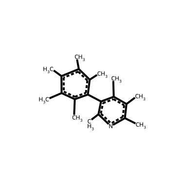 Cc1nc(C)c(-c2c(C)c(C)c(C)c(C)c2C)c(C)c1C